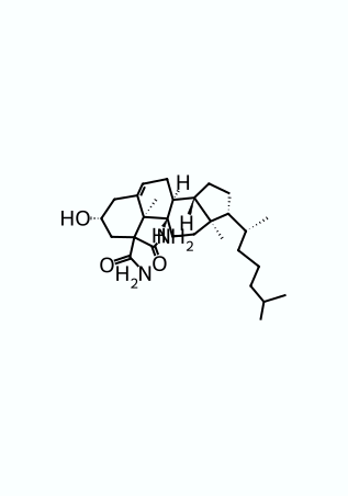 CC(C)CCC[C@@H](C)[C@H]1CC[C@H]2[C@@H]3CC=C4C[C@@H](O)CC(C(N)=O)(C(N)=O)[C@]4(C)[C@H]3CC[C@]12C